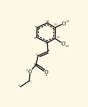 CCOC(=O)C=Cc1cccc(Cl)c1Cl